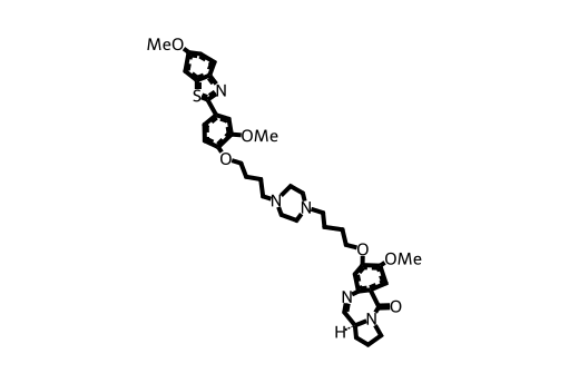 COc1ccc2nc(-c3ccc(OCCCCN4CCN(CCCCOc5cc6c(cc5OC)C(=O)N5CCC[C@H]5C=N6)CC4)c(OC)c3)sc2c1